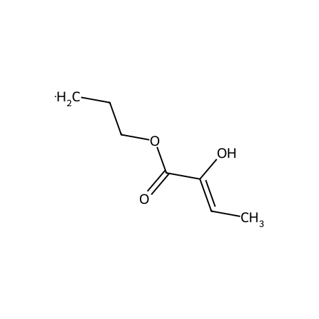 [CH2]CCOC(=O)C(O)=CC